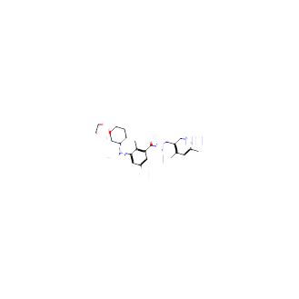 CCN(c1cc(Cl)cc(C(=O)NCC2=C(C)C=C(C)NC2)c1C)C1CCCC2(C1)OCCO2